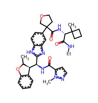 CCNC(=O)[C@H](NC(=O)C1(c2ccc3[nH]c([C@@H](NC(=O)c4ccnn4C)[C@H]4c5ccccc5OC4C)nc3c2)CCOC1)C1(C)CCC1